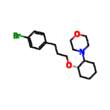 Brc1ccc(CCCO[C@H]2CCCCC2N2CCOCC2)cc1